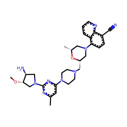 CO[C@H]1CN(c2nc(C)cc(N3CCN(C[C@H]4CN(c5ccc(C#N)c6ncccc56)C[C@@H](C)O4)CC3)n2)C[C@@H]1N